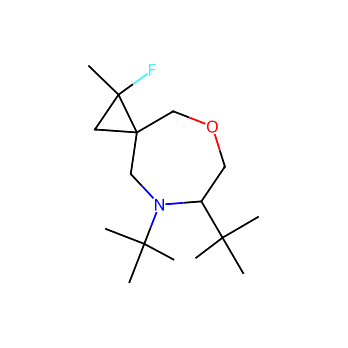 CC(C)(C)C1COCC2(CN1C(C)(C)C)CC2(C)F